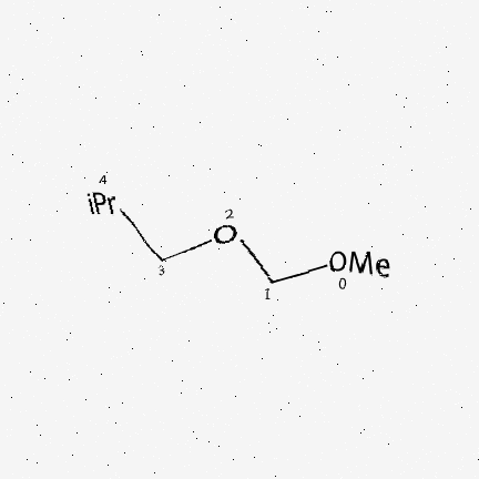 [CH2]OCOCC(C)C